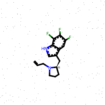 C=CCN1CCC[C@@H]1Cc1c[nH]c2c(F)c(F)c(F)cc12